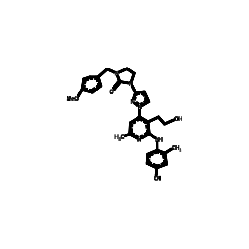 COc1ccc(CN2CCN(c3ccn(-c4cc(C)nc(Nc5ccc(C#N)cc5C)c4CCO)n3)C2=O)cc1